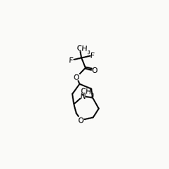 CN1C2CCOCC1CC(OC(=O)C(C)(F)F)C2